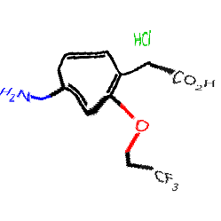 Cl.Nc1ccc(CC(=O)O)c(OCC(F)(F)F)c1